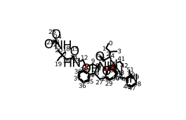 CCC(C)C(C(=O)NC(CC(O)CNC(=O)CC(C)(C)CNC(=O)OC)C(Cc1ccccc1)c1ccccc1)N1CCN(Cc2cccnc2C)C1=O